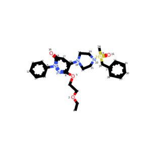 CCOCCOc1nn(-c2ccccc2)c(=O)cc1N1CCN([SH](C)(=O)Cc2ccccc2)CC1